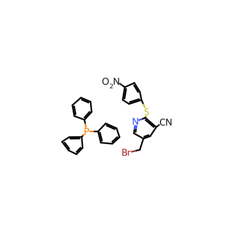 N#Cc1cc(CBr)cnc1Sc1ccc([N+](=O)[O-])cc1.c1ccc(P(c2ccccc2)c2ccccc2)cc1